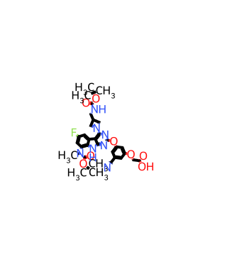 CN(C(=O)OC(C)(C)C)c1cc(F)cc2c1[nH]c1nc(Oc3cc(C#N)cc(OCC(=O)O)c3)nc(N3CC(CNC(=O)OC(C)(C)C)C3)c12